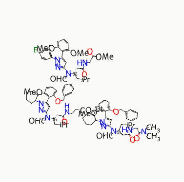 CCOC(=O)CCNC(=O)C[C@H](CC(C)C)N(C=O)c1cc(-c2c(OC)cccc2OCc2ccccc2)n(C2CCCCC2)n1.COC(=O)CNC(=O)C[C@H](CC(C)C)N(C=O)c1cc(-c2c(OC)cccc2OC)n(-c2ccc(F)cc2)n1.COc1cccc(OCc2ccccc2)c1-c1cc(N(C=O)[C@H](CC(=O)NCC(=O)N(C)C)CC(C)C)nn1C1CCCCC1